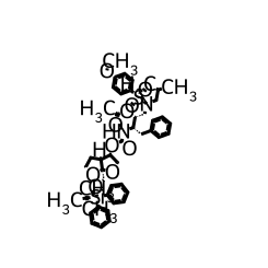 COc1ccc(S(=O)(=O)N(CC(C)C)C[C@@H](OC(C)=O)[C@H](Cc2ccccc2)NC(=O)O[C@H]2CO[C@@]3(CO[Si](c4ccccc4)(c4ccccc4)C(C)(C)C)OCC[C@@H]23)cc1